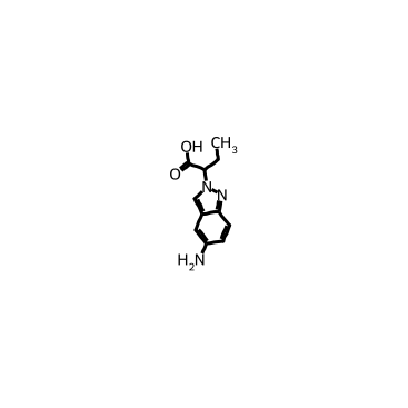 CCC(C(=O)O)n1cc2cc(N)ccc2n1